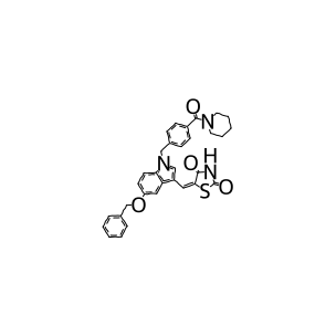 O=C1NC(=O)C(=Cc2cn(Cc3ccc(C(=O)N4CCCCC4)cc3)c3ccc(OCc4ccccc4)cc23)S1